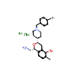 Cc1ccc2c(c1O)C[C@@H](C1CCN(Cc3ccc(C(C)C)cc3)CC1)O[C@H]2CN.Cl.Cl